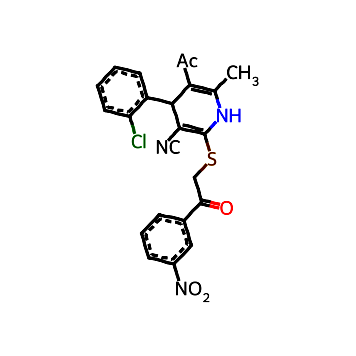 CC(=O)C1=C(C)NC(SCC(=O)c2cccc([N+](=O)[O-])c2)=C(C#N)C1c1ccccc1Cl